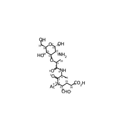 CC(=O)N(C(=O)[C@H](C)NC(=O)C(C)O[C@@H]1[C@@H](N)[C@@H](O)O[C@H](CO)[C@H]1O)[C@@H]([C]=O)CCC(=O)O